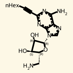 CCCCCCC#Cc1nc(N)c2ncn([C@@H]3O[C@H](CN)[C@@H](O)[C@H]3O)c2n1